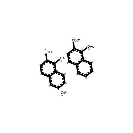 CC(=O)Oc1c(C(=O)[O-])ccc2ccccc12.CC(=O)Oc1c(C(=O)[O-])ccc2ccccc12.[Zn+2]